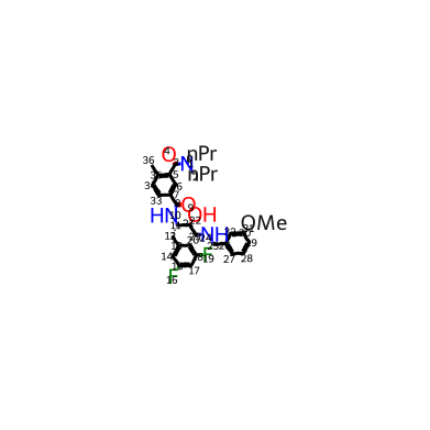 CCCN(CCC)C(=O)c1cc(C(=O)N[C@@H](Cc2cc(F)cc(F)c2)[C@H](O)CNCc2cccc(OC)c2)ccc1C